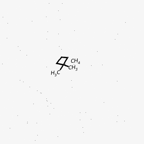 C.CC1(C)CCC1